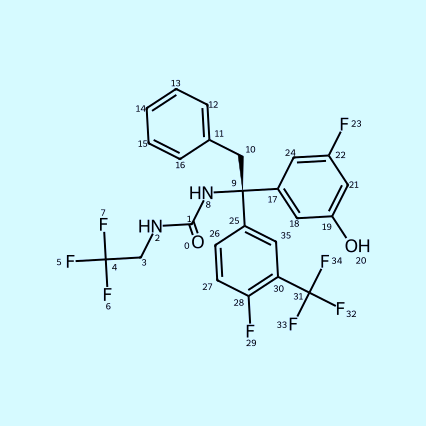 O=C(NCC(F)(F)F)N[C@](Cc1ccccc1)(c1cc(O)cc(F)c1)c1ccc(F)c(C(F)(F)F)c1